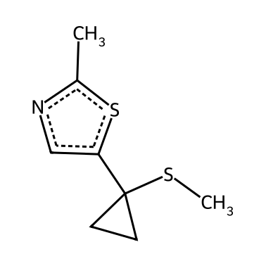 CSC1(c2cnc(C)s2)CC1